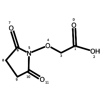 O=C(O)CON1C(=O)CCC1=O